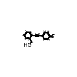 OCc1ccccc1C#Cc1ccc(F)cc1